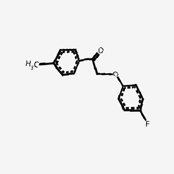 Cc1ccc(C(=O)COc2ccc(F)cc2)cc1